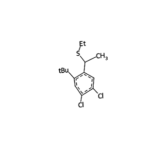 CCSC(C)c1cc(Cl)c(Cl)cc1C(C)(C)C